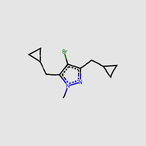 Cn1nc(CC2CC2)c(Br)c1CC1CC1